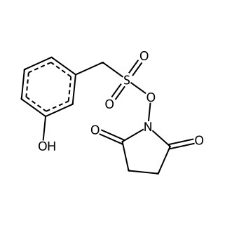 O=C1CCC(=O)N1OS(=O)(=O)Cc1cccc(O)c1